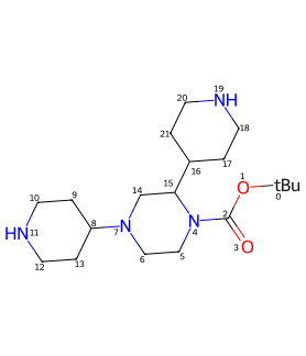 CC(C)(C)OC(=O)N1CCN(C2CCNCC2)CC1C1CCNCC1